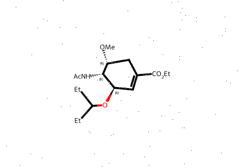 CCOC(=O)C1=C[C@@H](OC(CC)CC)[C@H](NC(C)=O)[C@H](OC)C1